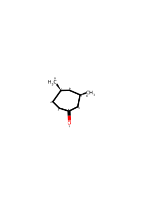 C[C@@H]1CCC(=O)C[C@H](C)C1